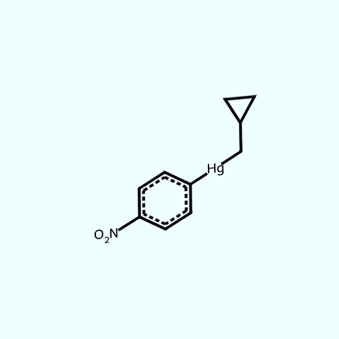 O=[N+]([O-])c1cc[c]([Hg][CH2]C2CC2)cc1